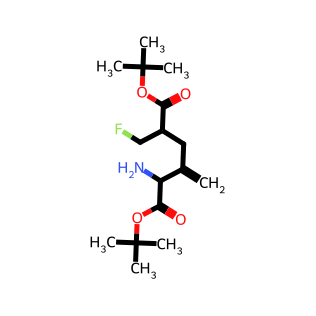 C=C(CC(CF)C(=O)OC(C)(C)C)C(N)C(=O)OC(C)(C)C